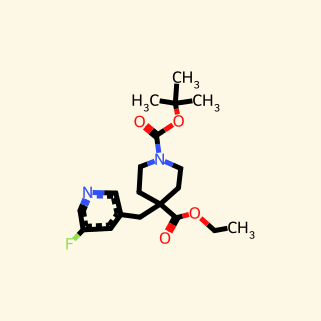 CCOC(=O)C1(Cc2cncc(F)c2)CCN(C(=O)OC(C)(C)C)CC1